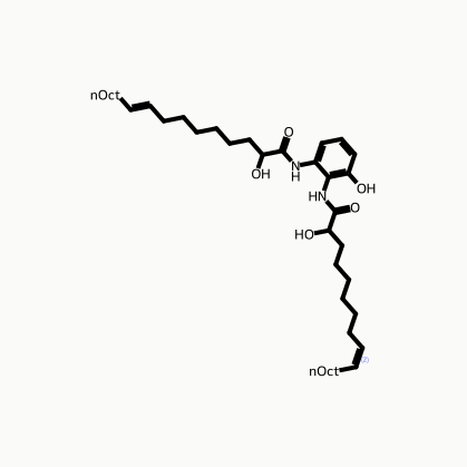 CCCCCCCCC=CCCCCCCC(O)C(=O)Nc1cccc(O)c1NC(=O)C(O)CCCCCC/C=C\CCCCCCCC